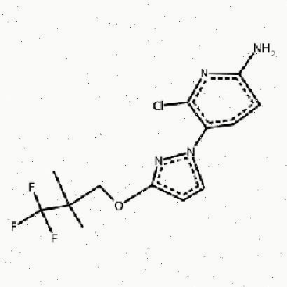 CC(C)(COc1ccn(-c2ccc(N)nc2Cl)n1)C(F)(F)F